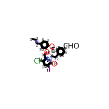 C/C=C/c1ccc(OCC)c(OCc2c(Cl)cc(I)c(=O)n2CCc2ccc(C=O)cc2)c1